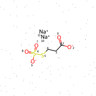 O=C([O-])CCSS(=O)(=O)[O-].[Na+].[Na+]